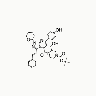 CC(C)(C)OC(=O)N1CCN(C(=O)c2cc(-c3ccc(O)cc3)nc3c2c(C=Cc2ccccc2)nn3C2CCCCO2)C(CO)C1